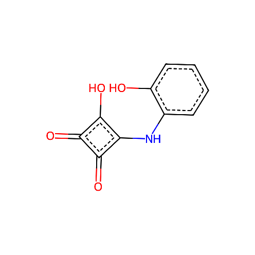 O=c1c(O)c(Nc2ccccc2O)c1=O